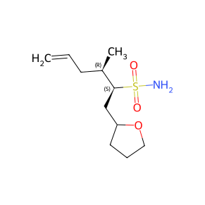 C=CC[C@@H](C)[C@H](CC1CCCO1)S(N)(=O)=O